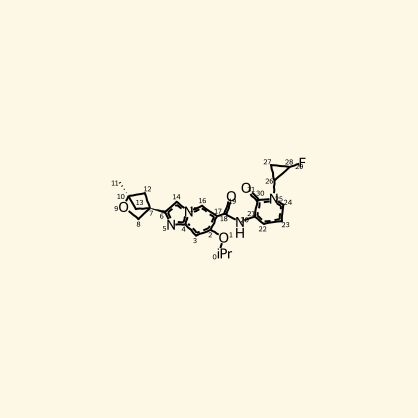 CC(C)Oc1cc2nc([C@]34CO[C@@](C)(C3)C4)cn2cc1C(=O)Nc1cccn(C2CC2F)c1=O